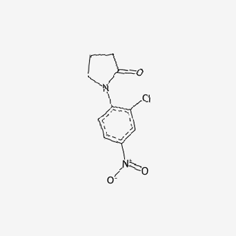 O=C1CCCN1c1ccc([N+](=O)[O-])cc1Cl